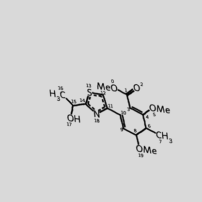 COC(=O)C=C(OC)C(C)C(C=Cc1csc(C(C)O)n1)OC